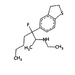 CCCCC(F)(c1ccc2c(c1)CCS2)C(C)NCC